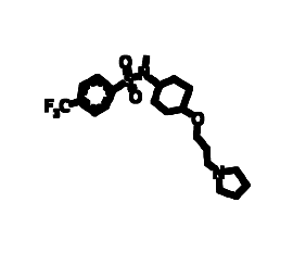 CN(C1CCC(OCCCN2CCCC2)CC1)S(=O)(=O)c1ccc(C(F)(F)F)cc1